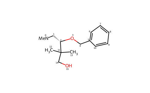 CNC[C@H](OCc1ccccc1)C(C)(C)CO